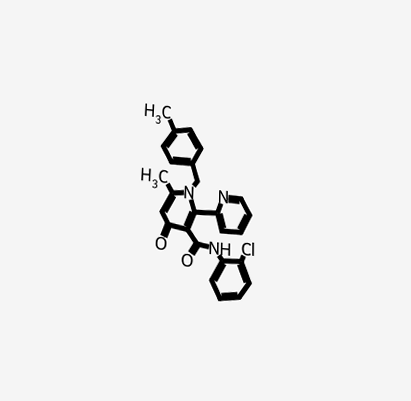 Cc1ccc(Cn2c(C)cc(=O)c(C(=O)Nc3ccccc3Cl)c2-c2ccccn2)cc1